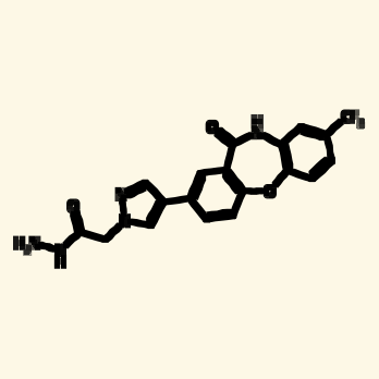 NNC(=O)Cn1cc(-c2ccc3c(c2)C(=O)Nc2cc(C(F)(F)F)ccc2O3)cn1